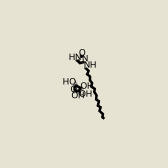 CCCCCCCCCCCCCCCCCCNc1cc[nH]c(=O)n1.OC[C@H]1O[C@@H](O)[C@@H](O)[C@@H]1O